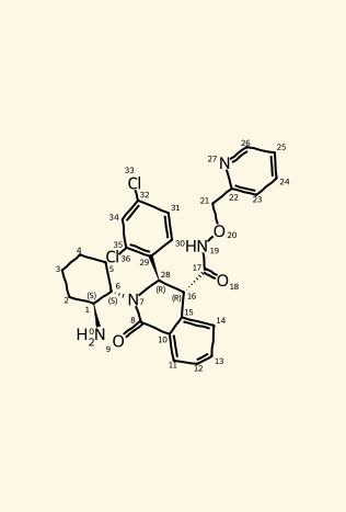 N[C@H]1CCCC[C@@H]1N1C(=O)c2ccccc2[C@@H](C(=O)NOCc2ccccn2)[C@@H]1c1ccc(Cl)cc1Cl